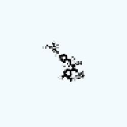 CCCS(=O)(=O)OCOc1ccc(C(=O)CC(=N)C(COS(=O)(=O)CCC)c2ccc(Cl)c(Cl)c2)c(OC)c1